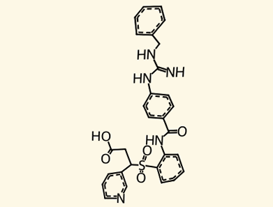 N=C(NCc1ccccc1)Nc1ccc(C(=O)Nc2ccccc2S(=O)(=O)C(CC(=O)O)c2cccnc2)cc1